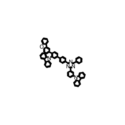 c1ccc(-c2nc(-c3ccc(-c4ccc(-c5ccc6oc7ccccc7c6c5)c(-n5c6ccccc6c6ccccc65)c4)cc3)nc(-c3cccc(-n4c5ccccc5c5ccccc54)c3)n2)cc1